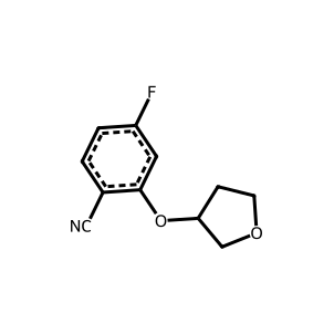 N#Cc1ccc(F)cc1OC1CCOC1